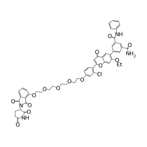 CCOc1cc2oc(-c3ccc(OCCOCCOCCOCCOc4cccc5c4C(=O)N(C4CCC(=O)NC4=O)C5=O)cc3Cl)cc(=O)c2cc1-c1cc(C(N)=O)cc(C(=O)Nc2ccccc2)c1